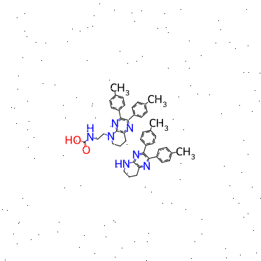 Cc1ccc(-c2nc3c(nc2-c2ccc(C)cc2)N(CCNC(=O)O)CCC3)cc1.Cc1ccc(-c2nc3c(nc2-c2ccc(C)cc2)NCCC3)cc1